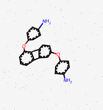 Nc1ccc(Oc2ccc3c(c2)-c2cccc(Oc4ccc(N)cc4)c2-3)cc1